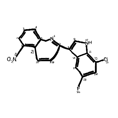 O=[N+]([O-])c1cccc2nc(-c3c[nH]c4c(Cl)cc(F)cc34)ccc12